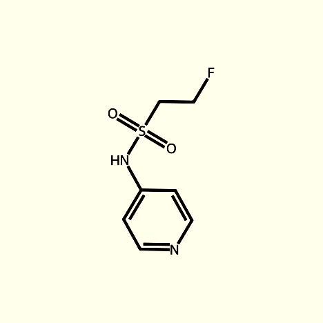 O=S(=O)(CCF)Nc1ccncc1